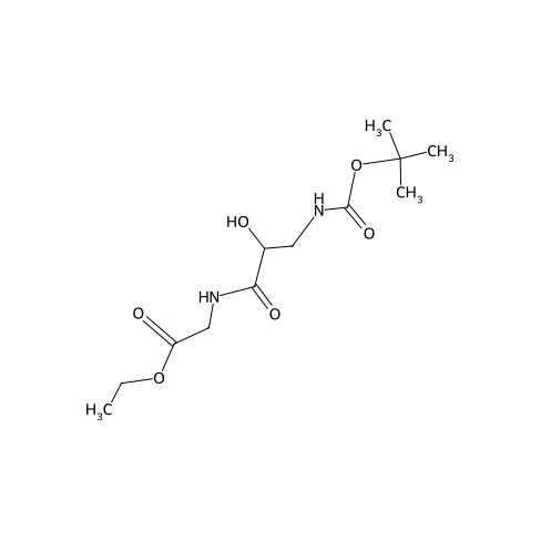 CCOC(=O)CNC(=O)C(O)CNC(=O)OC(C)(C)C